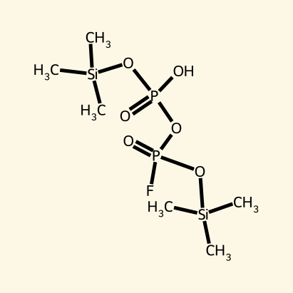 C[Si](C)(C)OP(=O)(O)OP(=O)(F)O[Si](C)(C)C